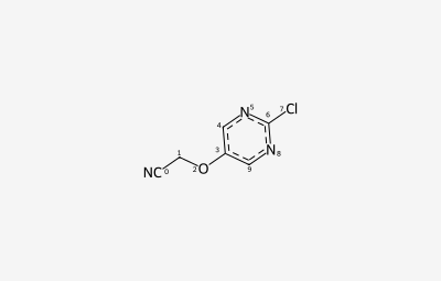 N#CCOc1cnc(Cl)nc1